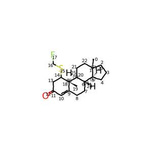 C[C@@]12CCC[C@H]1[C@@H]1CCC3=CC(=O)CC(SCF)[C@]3(C)[C@H]1CC2